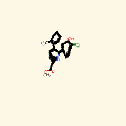 COC(=O)c1ccc(-c2ccccc2C)c(-c2ccc(Cl)c(O)c2)n1